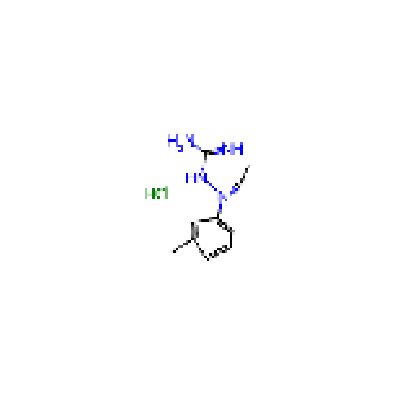 CC=[N+](NC(=N)N)c1cccc(C)c1.Cl